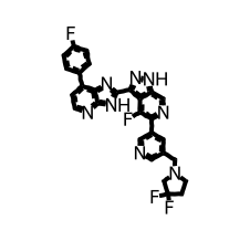 Fc1ccc(-c2ccnc3[nH]c(-c4n[nH]c5cnc(-c6cncc(CN7CCC(F)(F)C7)c6)c(F)c45)nc23)cc1